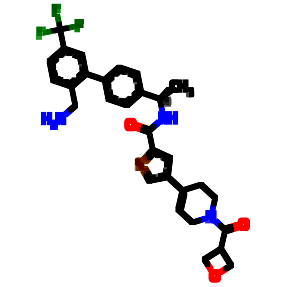 C[C@@H](NC(=O)c1cc(C2=CCN(C(=O)C3COC3)CC2)cs1)c1ccc(-c2cc(C(F)(F)F)ccc2CN)cc1